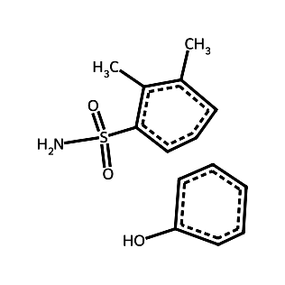 Cc1cccc(S(N)(=O)=O)c1C.Oc1ccccc1